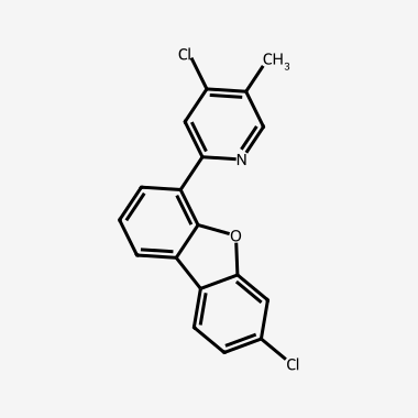 Cc1cnc(-c2cccc3c2oc2cc(Cl)ccc23)cc1Cl